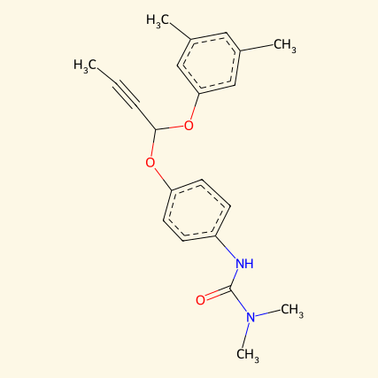 CC#CC(Oc1ccc(NC(=O)N(C)C)cc1)Oc1cc(C)cc(C)c1